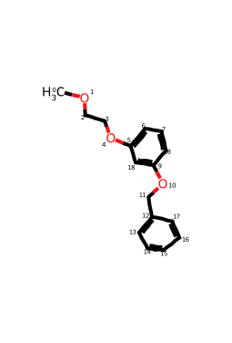 COCCOc1cc[c]c(OCc2ccccc2)c1